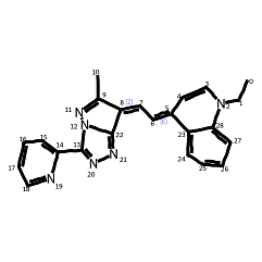 CCN1C=C/C(=C\C=c2\c(C)nn3c(-c4ccccn4)nnc23)c2ccccc21